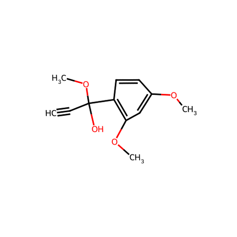 C#CC(O)(OC)c1ccc(OC)cc1OC